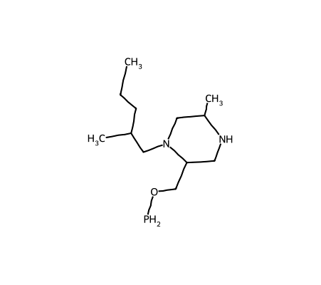 CCCC(C)CN1CC(C)NCC1COP